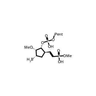 B[C@H]1C[C@H](/C=C/P(=O)(O)OC)[C@@H](OP(=O)(O)OC(C)CCC)[C@H]1OC